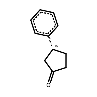 O=C1CC[C@@H](c2ccccc2)C1